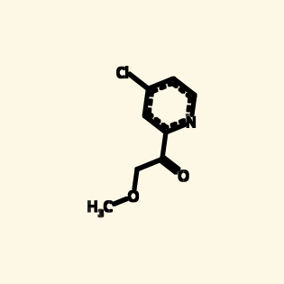 COCC(=O)c1cc(Cl)ccn1